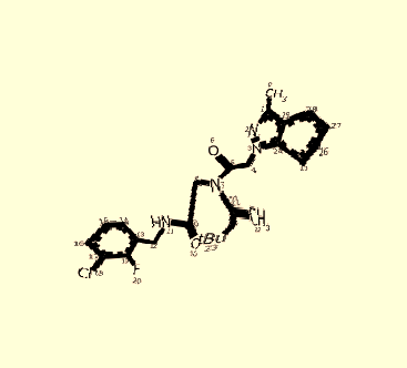 Cc1nn(CC(=O)N(CC(=O)NCc2cccc(Cl)c2F)C(C)C(C)(C)C)c2ccccc12